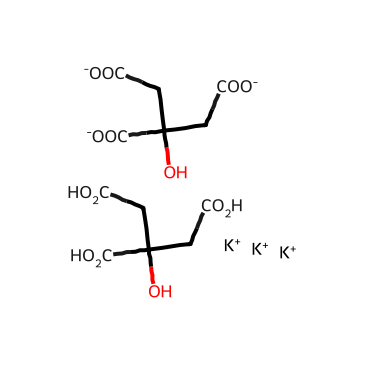 O=C(O)CC(O)(CC(=O)O)C(=O)O.O=C([O-])CC(O)(CC(=O)[O-])C(=O)[O-].[K+].[K+].[K+]